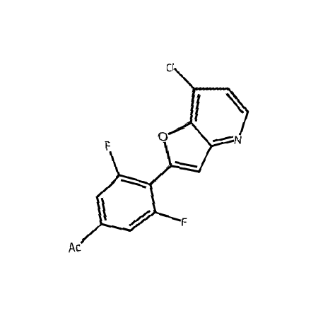 CC(=O)c1cc(F)c(-c2cc3nccc(Cl)c3o2)c(F)c1